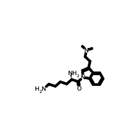 CN(C)CCc1cn(C(=O)[C@@H](N)CCCCN)c2ccccc12